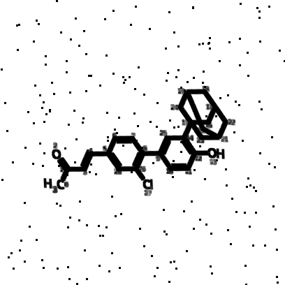 CC(=O)/C=C/c1ccc(-c2ccc(O)c(C34CC5CC(CC(C5)C3)C4)c2)c(Cl)c1